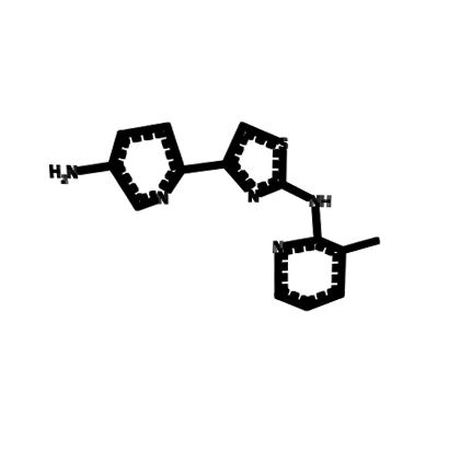 Cc1cccnc1Nc1nc(-c2ccc(N)cn2)cs1